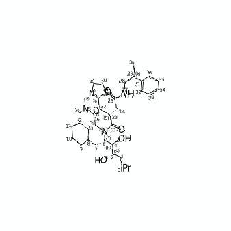 CC(C)C[C@H](O)[C@H](O)[C@H](CC1CCCCC1)N(CC(=O)N(C)C)C(=O)[C@@H](CC(=O)NC[C@@H](C)c1ccccc1)Cc1nccs1